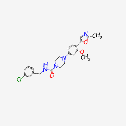 COc1cc(N2CCN(C(=O)NCc3cccc(Cl)c3)CC2)ccc1-c1cnc(C)o1